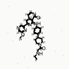 CCNCC(=O)N1CCC(c2ccc(Nc3nc(-c4cncc(OC)n4)cc4c3C(=O)[N]C=C4)cc2)CC1